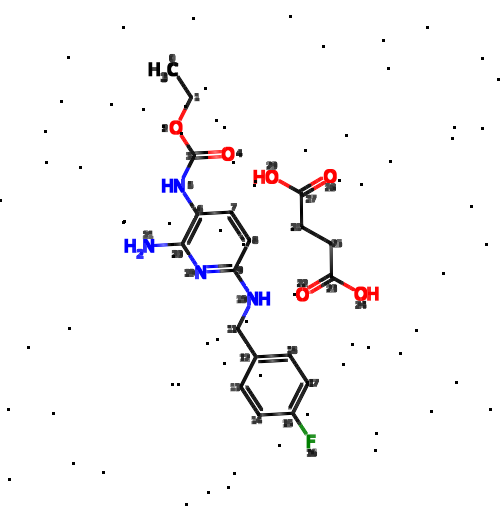 CCOC(=O)Nc1ccc(NCc2ccc(F)cc2)nc1N.O=C(O)CCC(=O)O